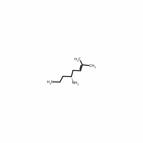 CC(C)=CC[C@H](N)CCN